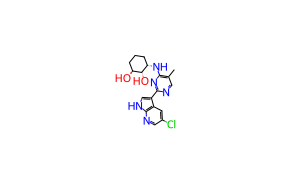 Cc1cnc(-c2c[nH]c3ncc(Cl)cc23)nc1N[C@H]1CCC[C@H](O)[C@H]1O